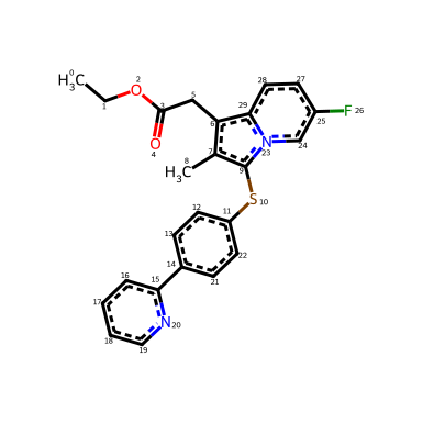 CCOC(=O)Cc1c(C)c(Sc2ccc(-c3ccccn3)cc2)n2cc(F)ccc12